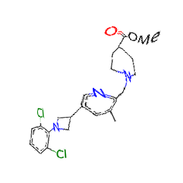 COC(=O)C1CCN(Cc2ncc(C3CN(c4c(Cl)cccc4Cl)C3)cc2C)CC1